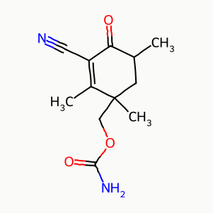 CC1=C(C#N)C(=O)C(C)CC1(C)COC(N)=O